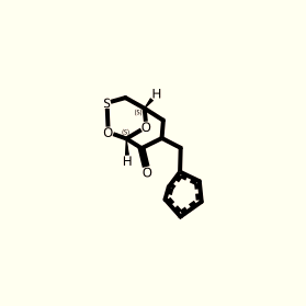 O=C1C(Cc2ccccc2)C[C@H]2CSO[C@@H]1O2